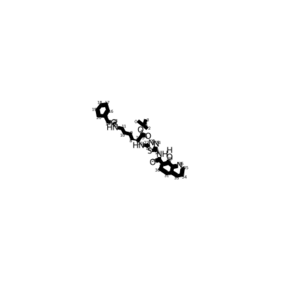 CC(C)(C)OC(=O)[C@H](CCCCNOCc1ccccc1)Nc1nnc(NC(=O)c2ccc3cccnc3c2O)s1